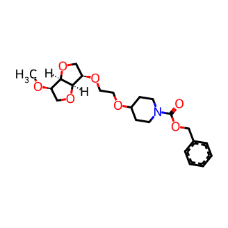 CO[C@@H]1CO[C@H]2[C@@H]1OC[C@H]2OCCOC1CCN(C(=O)OCc2ccccc2)CC1